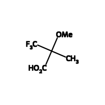 COC(C)(C(=O)O)C(F)(F)F